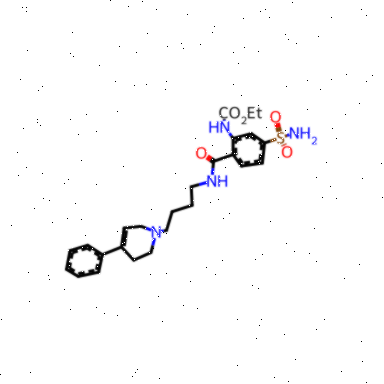 CCOC(=O)Nc1cc(S(N)(=O)=O)ccc1C(=O)NCCCCN1CC=C(c2ccccc2)CC1